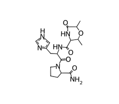 CC1OC(C)C(C(=O)NC(Cc2c[nH]cn2)C(=O)N2CCCC2C(N)=O)NC1=O